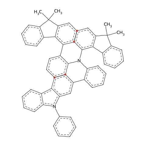 CC1(C)c2ccccc2-c2c(-c3ccccc3N(c3ccccc3-c3ccc4c5ccccc5n(-c5ccccc5)c4c3)c3cccc4c3-c3ccccc3C4(C)C)cccc21